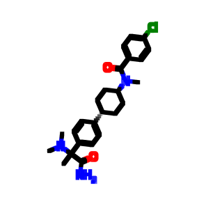 CN(C)C(C)(C(N)=O)c1ccc([C@H]2CC[C@H](N(C)C(=O)c3ccc(Cl)cc3)CC2)cc1